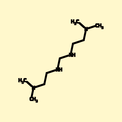 CN(C)CCNCNCCN(C)C